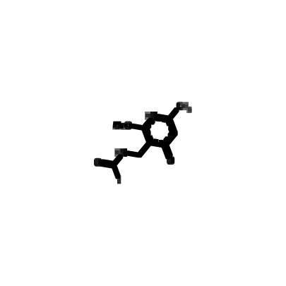 COc1[nH]c(C)cc(=O)c1CNC(=O)I